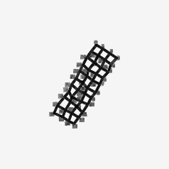 C1C2C3CC4C5C6C7C8C9C%10C%11C%12CC%13C%14CC%15C%16C%17C%18C%19C%20C%21C%22C1C21C34C52C%221C%211C62C72C%201C%191C%183C%174C%165C%14%15C%13%12C%115C%104C93C821